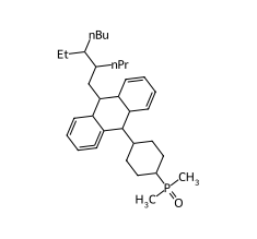 CCCCC(CC)C(CCC)CC1C2C=CC=C=C2C(C2CCC(P(C)(C)=O)CC2)C2C=CC=CC21